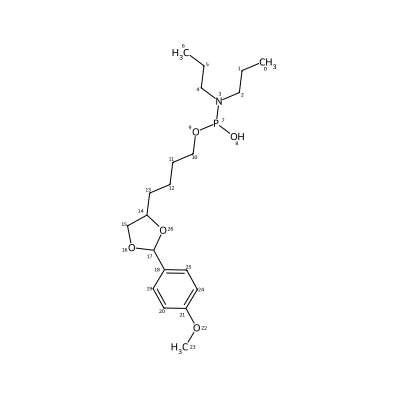 CCCN(CCC)P(O)OCCCCC1COC(c2ccc(OC)cc2)O1